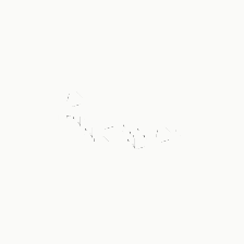 O=C(C1=CCC(Nc2nccc(-c3ccc(Cl)cc3)n2)C=C1)N1CCN(C(=O)c2ccccc2)CC1